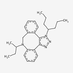 CCCC(CCC)n1nnc2c1-c1ccccc1CN(C(C)CC)c1ccccc1-2